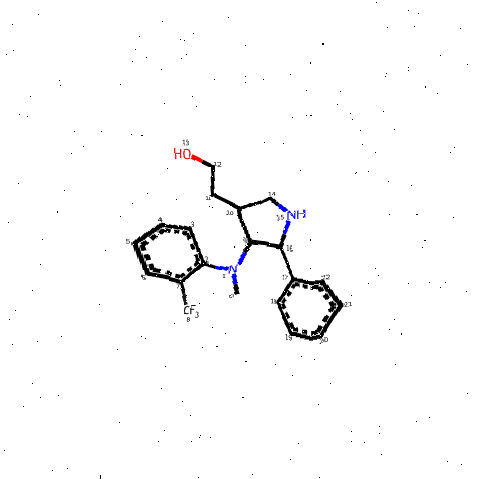 CN(c1ccccc1C(F)(F)F)C1C(CCO)CNC1c1ccccc1